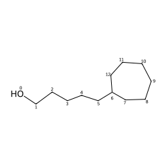 OCCCCCC1CCCCCC1